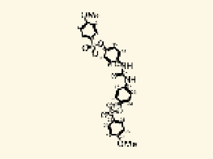 COc1ccc(S(=O)(=O)Oc2ccc(NC(=O)Nc3ccc(OS(=O)(=O)c4ccc(OC)cc4)cc3)cc2)cc1